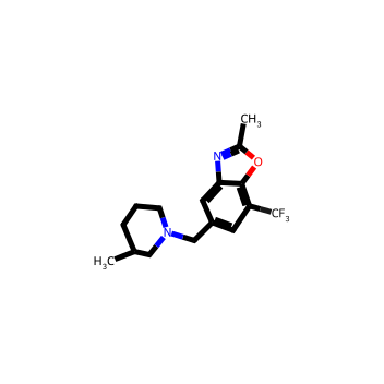 Cc1nc2cc(CN3CCCC(C)C3)cc(C(F)(F)F)c2o1